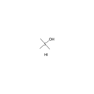 CS(C)(C)O.I